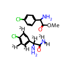 COC(=O)C(N)c1ccc(Cl)cc1.[2H]c1cc(C([2H])(N)C(=O)N([2H])[2H])c([2H])c([2H])c1Cl